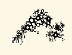 CC1COc2ccccc2N1C(=O)C(Cl)Cl.CCc1cccc(C)c1N(C(=O)CCl)C(C)COC.CS(=O)(=O)c1ccc(C(=O)C2C(=O)CCCC2=O)c([N+](=O)[O-])c1.C[S+](C)C.Cc1nn(-c2cc(NS(C)(=O)=O)c(Cl)cc2Cl)c(=O)n1C(F)F.O=C(O)CNCP(=O)([O-])O